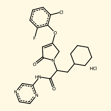 Cl.O=C(Nc1cnccn1)C(CC1CCCCC1)N1CC(Oc2c(F)cccc2Cl)=CC1=O